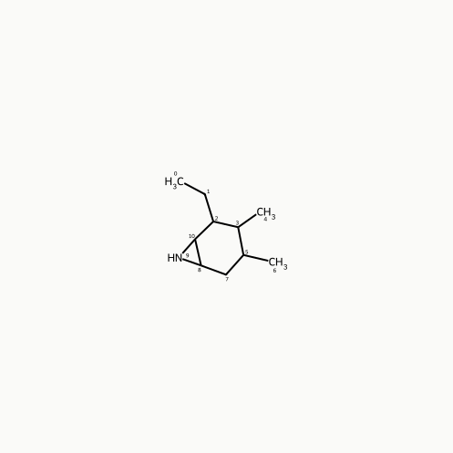 CCC1C(C)C(C)CC2NC21